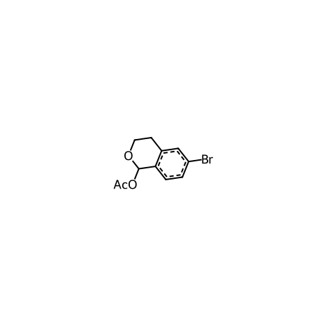 CC(=O)OC1OCCc2cc(Br)ccc21